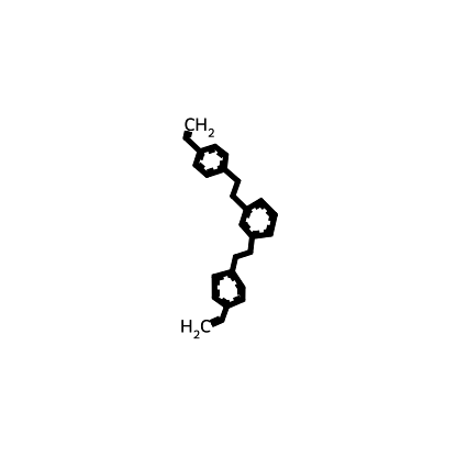 C=Cc1ccc(CCc2cccc(CCc3ccc(C=C)cc3)c2)cc1